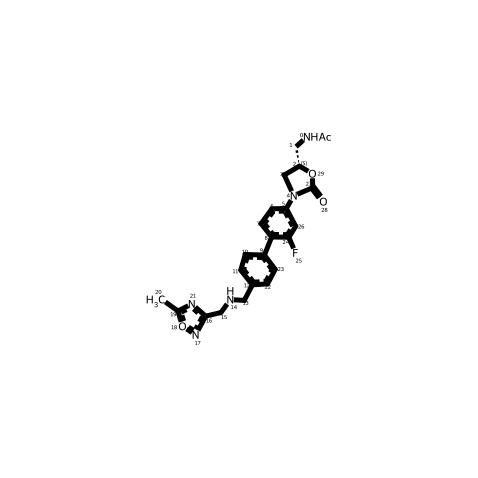 CC(=O)NC[C@H]1CN(c2ccc(-c3ccc(CNCc4noc(C)n4)cc3)c(F)c2)C(=O)O1